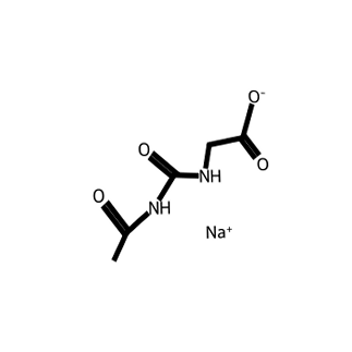 CC(=O)NC(=O)NCC(=O)[O-].[Na+]